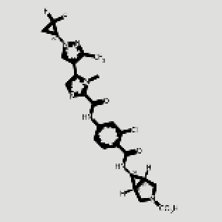 Cn1c(-c2cn([C@H]3CC3(F)F)nc2C(F)(F)F)cnc1C(=O)Nc1ccc(C(=O)N[C@H]2[C@@H]3CN(C(=O)O)C[C@@H]32)c(Cl)c1